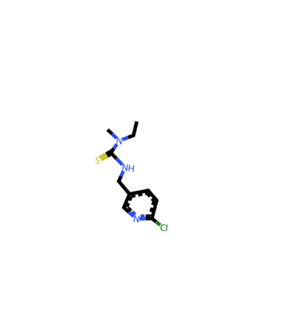 CCN(C)C(=S)NCc1ccc(Cl)nc1